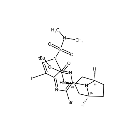 CN(C)S(=O)(=O)n1cc(I)c2nc(Br)c(N3[C@@H]4CC[C@H]3C[C@@H](NC(=O)OC(C)(C)C)C4)nc21